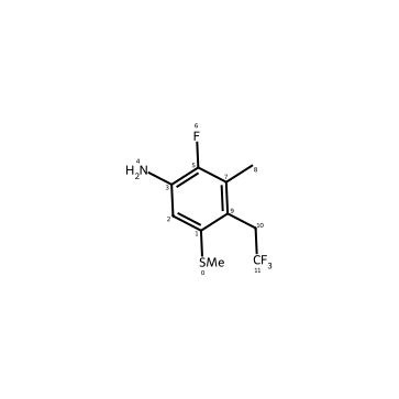 CSc1cc(N)c(F)c(C)c1CC(F)(F)F